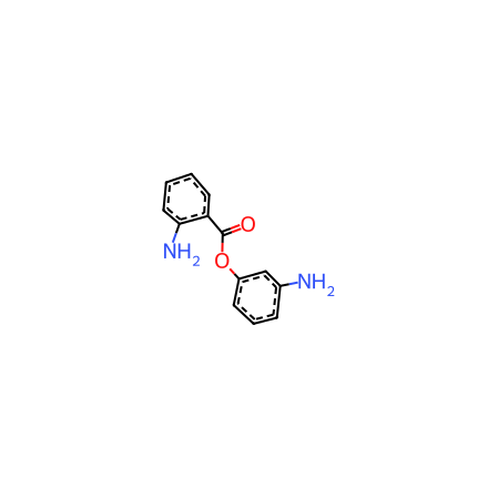 Nc1cccc(OC(=O)c2ccccc2N)c1